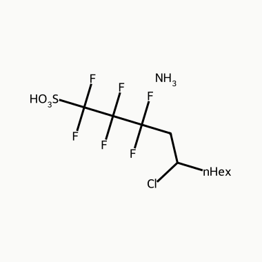 CCCCCCC(Cl)CC(F)(F)C(F)(F)C(F)(F)S(=O)(=O)O.N